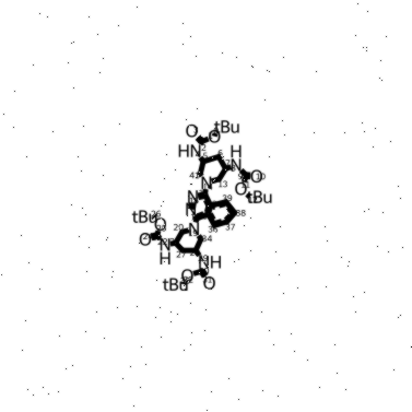 CC(C)(C)OC(=O)NC1CC(NC(=O)OC(C)(C)C)CN(c2nnc(N3CC(NC(=O)OC(C)(C)C)CC(NC(=O)OC(C)(C)C)C3)c3ccccc23)C1